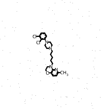 Cc1ccc2c(n1)N(CCCCCN1CCN(c3cccc(Cl)c3Cl)CC1)CCO2